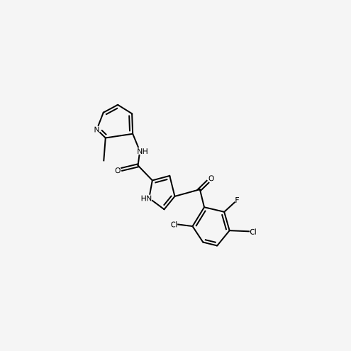 Cc1ncccc1NC(=O)c1cc(C(=O)c2c(Cl)ccc(Cl)c2F)c[nH]1